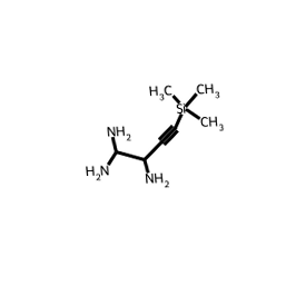 C[Si](C)(C)C#CC(N)C(N)N